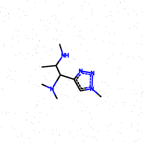 CNC(C)C(c1cn(C)nn1)N(C)C